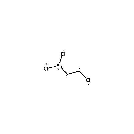 ClCC[As](Cl)Cl